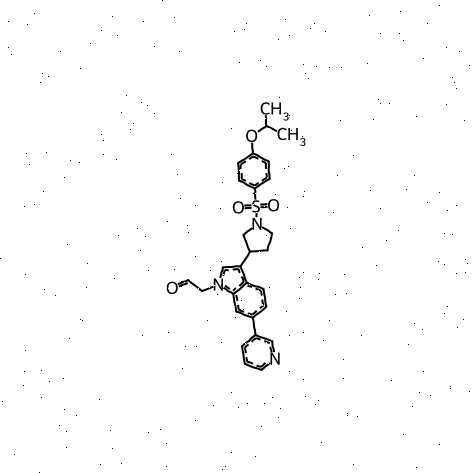 CC(C)Oc1ccc(S(=O)(=O)N2CCC(c3cn(CC=O)c4cc(-c5cccnc5)ccc34)C2)cc1